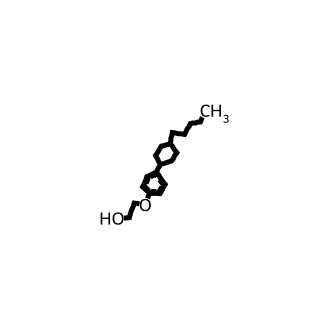 CCCCCC1CCC(c2ccc(OCCO)cc2)CC1